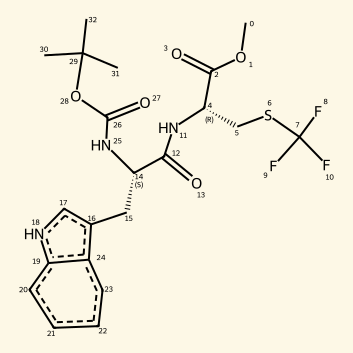 COC(=O)[C@H](CSC(F)(F)F)NC(=O)[C@H](Cc1c[nH]c2ccccc12)NC(=O)OC(C)(C)C